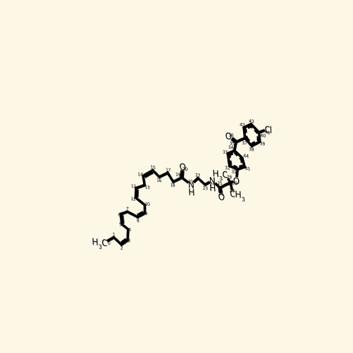 CC/C=C\C/C=C\C/C=C\C/C=C\C/C=C\CCCC(=O)NCCNC(=O)C(C)(C)Oc1ccc(C(=O)c2ccc(Cl)cc2)cc1